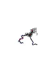 CC/C=C\C/C=C\C/C=C\C/C=C\C/C=C\CCCC(=O)OC[C@H](COP(=O)(O)OC[C@H](N)C(=O)O)OC(=O)CCCCCCC/C=C\C/C=C\CCCCC